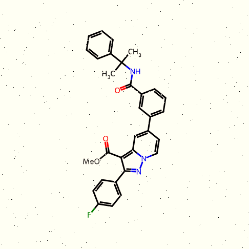 COC(=O)c1c(-c2ccc(F)cc2)nn2ccc(-c3cccc(C(=O)NC(C)(C)c4ccccc4)c3)cc12